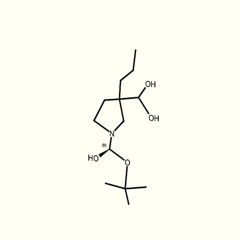 CCCC1(C(O)O)CCN([C@H](O)OC(C)(C)C)C1